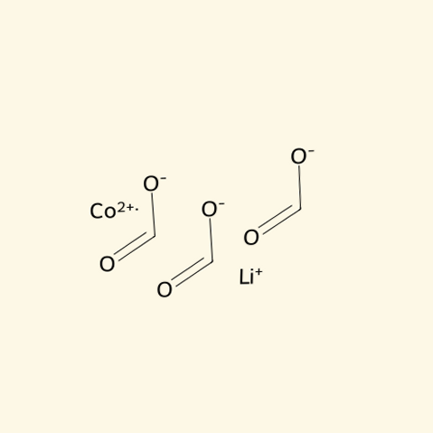 O=C[O-].O=C[O-].O=C[O-].[Co+2].[Li+]